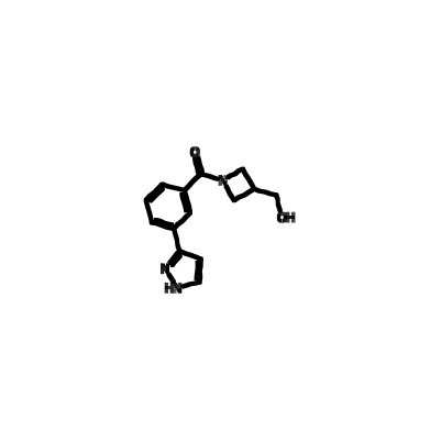 O=C(c1cccc(-c2cc[nH]n2)c1)N1CC(CO)C1